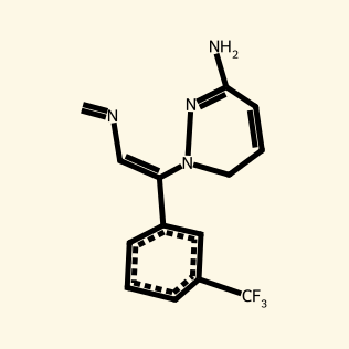 C=N/C=C(/c1cccc(C(F)(F)F)c1)N1CC=CC(N)=N1